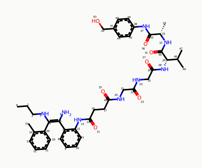 CCCN/C(=C(\N)c1ccccc1NC(=O)CCC(=O)NCC(=O)NCC(=O)N[C@H](C(=O)N[C@@H](C)C(=O)Nc1ccc(CO)cc1)C(C)C)c1ccccc1C